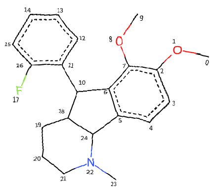 COc1ccc2c(c1OC)C(c1ccccc1F)C1CCCN(C)C21